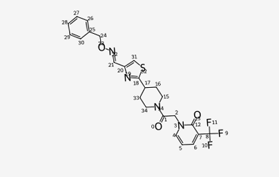 O=C(Cn1cccc(C(F)(F)F)c1=O)N1CCC(c2nc(C=NOCc3ccccc3)cs2)CC1